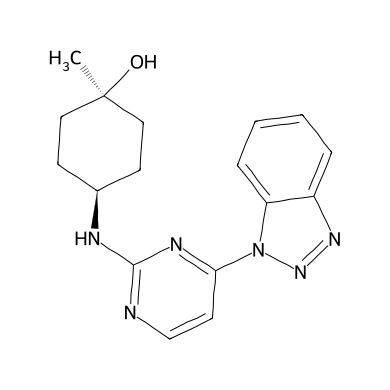 C[C@]1(O)CC[C@@H](Nc2nccc(-n3nnc4ccccc43)n2)CC1